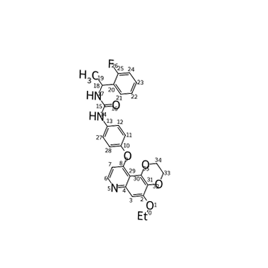 CCOc1cc2nccc(Oc3ccc(NC(=O)NC(C)c4ccccc4F)cc3)c2c2c1OCCO2